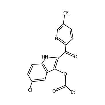 CCC(=O)Oc1c(C(=O)c2ccc(C(F)(F)F)cn2)[nH]c2ccc(Cl)cc12